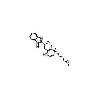 COCCCOC1(C)C=CNC(C[S+]([O-])c2nc3ccccc3[nH]2)=C1C